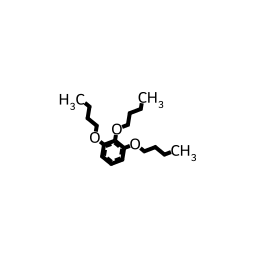 CCCCOc1cccc(OCCCC)c1OCCCC